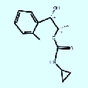 C[C@H](OC(=O)NC1CC1)[C@@H](O)c1ccccc1I